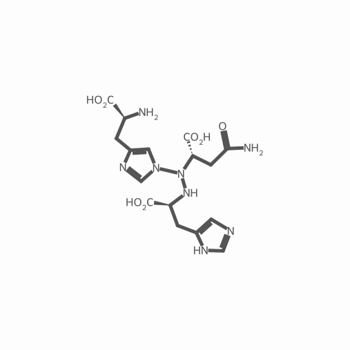 NC(=O)C[C@@H](C(=O)O)N(N[C@@H](Cc1cnc[nH]1)C(=O)O)n1cnc(C[C@H](N)C(=O)O)c1